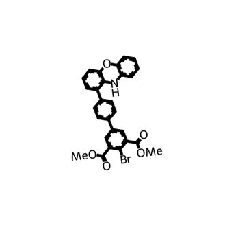 COC(=O)c1cc(-c2ccc(-c3cccc4c3Nc3ccccc3O4)cc2)cc(C(=O)OC)c1Br